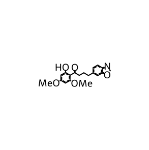 COc1cc(O)c(C(=O)CCCc2ccc3ncoc3c2)c(OC)c1